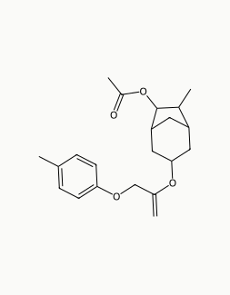 C=C(COc1ccc(C)cc1)OC1CC2CC(C1)C(OC(C)=O)C2C